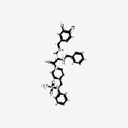 CS(=O)(=O)N(CC1CCN(C(=O)[C@H](COCc2ccc(Cl)c(Cl)c2)NCc2ccccc2)CC1)c1ccccc1